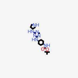 CC(C)(C)OC(=O)N[C@H]1CC[C@@H](Nc2ncnc(N[C@@H]3CCNC3)n2)CC1